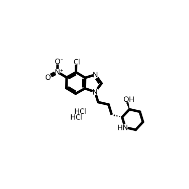 Cl.Cl.O=[N+]([O-])c1ccc2c(ncn2CCC[C@H]2NCCC[C@@H]2O)c1Cl